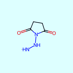 [NH]NN1C(=O)CCC1=O